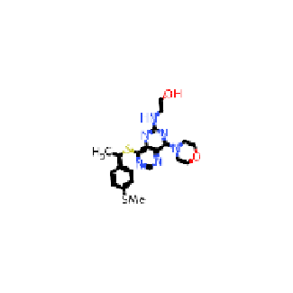 CSc1ccc(C(C)Sc2ncnc3c(N4CCOCC4)nc(NCCO)nc23)cc1